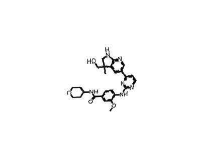 COc1cc(C(=O)NC2CCOCC2)ccc1Nc1nccc(-c2cnc3c(c2)C(C)(CO)CN3)n1